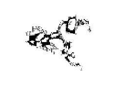 C=CC(=O)N1CCN(c2nc(OC3CCN(C)CC3)nc3c(=O)n(-c4c(O)cccc4F)c(C)cc23)CC1